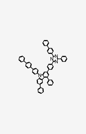 c1ccc(-c2ccc(-c3ccc(-n4c5ccc(-c6ccccc6)cc5c5c(-c6ccccc6)cc(-c6ccc(-c7nc(-c8ccccc8)nc(-c8ccc(-c9ccccc9)cc8)n7)cc6)cc54)cc3)cc2)cc1